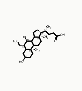 CC[C@@H]1C2C[C@H](O)CC[C@]2(C)C2CC[C@@]3(C)C(CC[C@@H]3[C@H](C)CCC(=O)O)C2[C@@H]1O